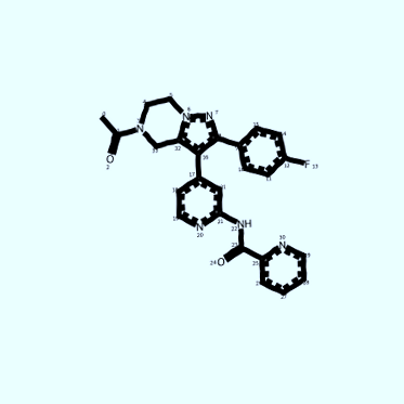 CC(=O)N1CCn2nc(-c3ccc(F)cc3)c(-c3ccnc(NC(=O)c4ccccn4)c3)c2C1